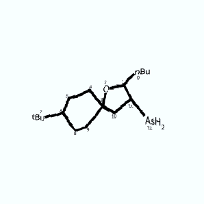 CCCCC1OC2(CCC(C(C)(C)C)CC2)CC1[AsH2]